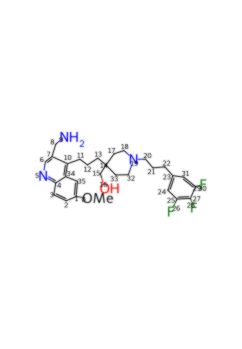 COc1ccc2ncc(CN)c(CCCC3(CO)CCN(CCCc4cc(F)c(F)c(F)c4)CC3)c2c1